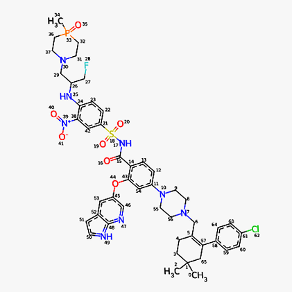 CC1(C)CCC(CN2CCN(c3ccc(C(=O)NS(=O)(=O)c4ccc(NC(CF)CN5CCP(C)(=O)CC5)c([N+](=O)[O-])c4)c(Oc4cnc5[nH]ccc5c4)c3)CC2)=C(c2ccc(Cl)cc2)C1